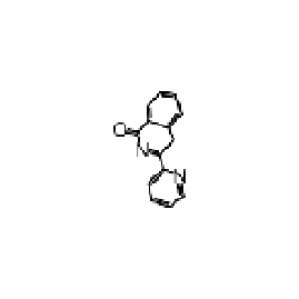 O=C1N=C(c2ccccn2)Cc2ccccc21